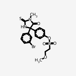 COCCS(=O)(=O)Oc1ccc(C2(c3cccc(Br)c3)NC(=S)N(C)C2=O)cc1